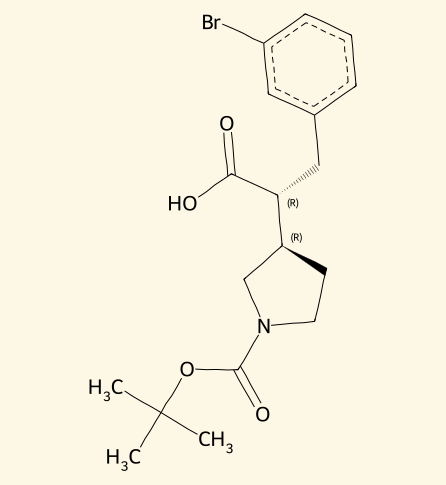 CC(C)(C)OC(=O)N1CC[C@H]([C@@H](Cc2cccc(Br)c2)C(=O)O)C1